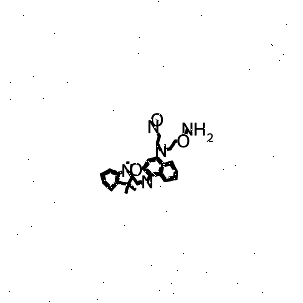 CN1c2ccccc2C(C)(C)C12C=Nc1c(cc(N(CCN=O)CCON)c3ccccc13)O2